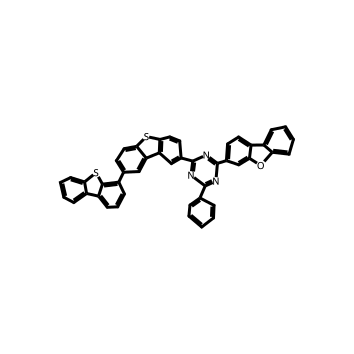 c1ccc(-c2nc(-c3ccc4c(c3)oc3ccccc34)nc(-c3ccc4sc5ccc(-c6cccc7c6sc6ccccc67)cc5c4c3)n2)cc1